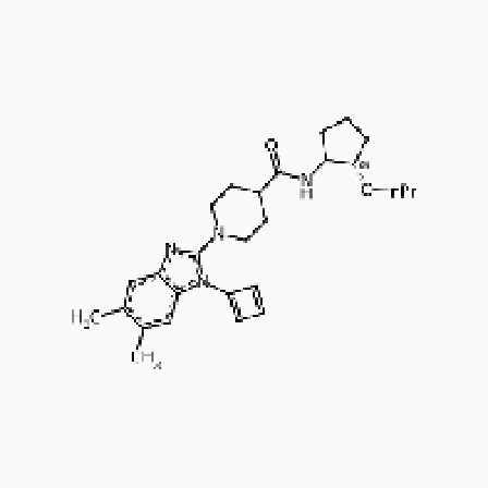 CCCO[C@H]1CCCC1NC(=O)C1CCN(c2nc3cc(C)c(C)cc3n2C2=CC=C2)CC1